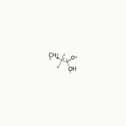 C.CC(C)(C)C(=O)O